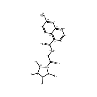 CC1C(C)C(I)N(C(=O)CNC(=O)c2ccnc3cc(C(C)(C)C)ccc23)C1C